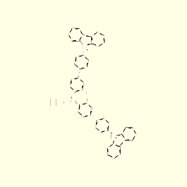 CN1c2ccc(-c3ccc(-n4c5ccccc5c5ccccc54)cc3)cc2Sc2cc(-c3ccc(-n4c5ccccc5c5ccccc54)cc3)ccc21